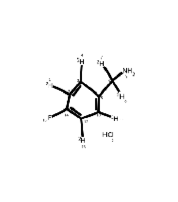 Cl.[2H]c1c([2H])c(C([2H])([2H])N)c([2H])c([2H])c1F